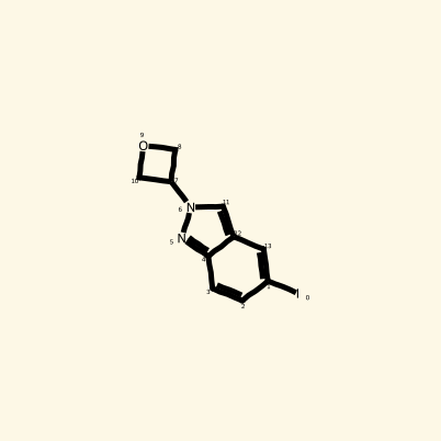 Ic1ccc2nn(C3COC3)cc2c1